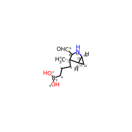 C[C@]1(CCCB(O)O)C(C=O)N[C@H]2C[C@H]21